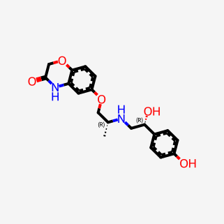 C[C@H](COc1ccc2c(c1)NC(=O)CO2)NC[C@H](O)c1ccc(O)cc1